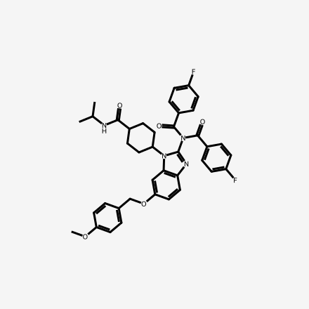 COc1ccc(COc2ccc3nc(N(C(=O)c4ccc(F)cc4)C(=O)c4ccc(F)cc4)n(C4CCC(C(=O)NC(C)C)CC4)c3c2)cc1